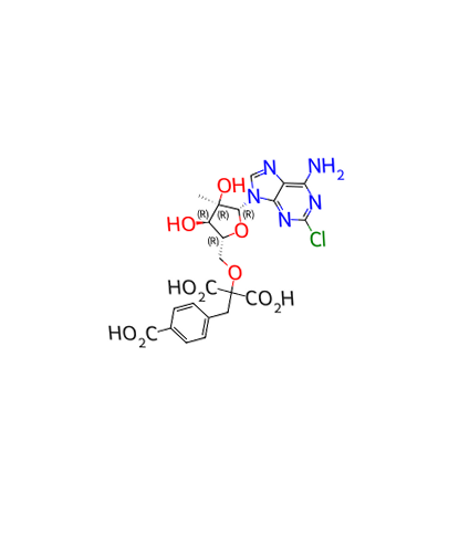 C[C@@]1(O)[C@H](O)[C@@H](COC(Cc2ccc(C(=O)O)cc2)(C(=O)O)C(=O)O)O[C@H]1n1cnc2c(N)nc(Cl)nc21